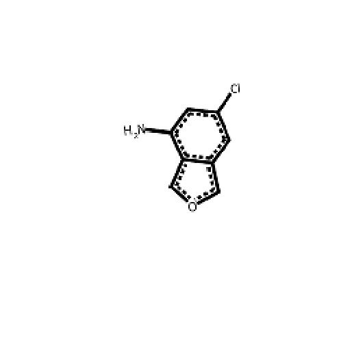 Nc1cc(Cl)cc2cocc12